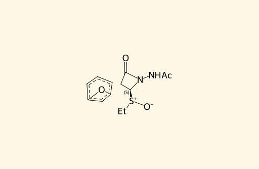 CC[S+]([O-])[C@H]1CC(=O)N1NC(C)=O.c1cc2cc(c1)O2